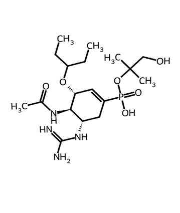 CCC(CC)O[C@@H]1C=C(P(=O)(O)OC(C)(C)CO)C[C@H](NC(=N)N)[C@H]1NC(C)=O